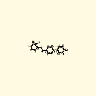 C1=CC2(CCc3ccc(-c4ccccc4)cc3)CCC1C2